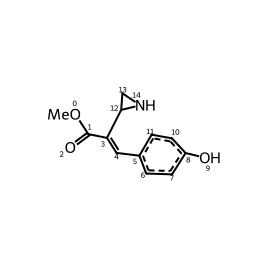 COC(=O)/C(=C/c1ccc(O)cc1)C1CN1